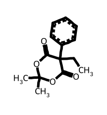 CCC1(c2ccccc2)C(=O)OC(C)(C)OC1=O